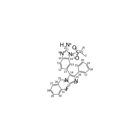 CC(C)S(=O)(=O)n1c(N)nc2ccc(-c3c(-c4ccccc4)ncn3Cc3ccccc3F)cc21